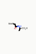 CNCC(=O)N[C@@H](C)C(=O)O